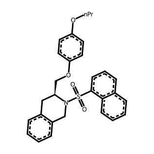 CCCOc1ccc(OC[C@@H]2Cc3ccccc3CN2S(=O)(=O)c2cccc3ccccc23)cc1